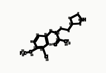 O=C(N(CCC1CCNC1)Cc1ccc(OC(F)(F)F)c(Cl)c1)C(F)(F)F